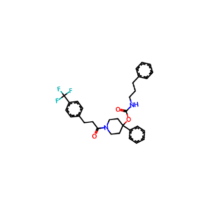 O=C(NCCCc1ccccc1)OC1(c2ccccc2)CCN(C(=O)CCc2ccc(C(F)(F)F)cc2)CC1